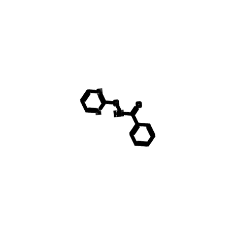 O=C(NOc1ncccn1)c1ccccc1